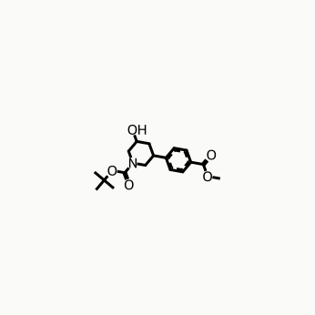 COC(=O)c1ccc(C2CC(O)CN(C(=O)OC(C)(C)C)C2)cc1